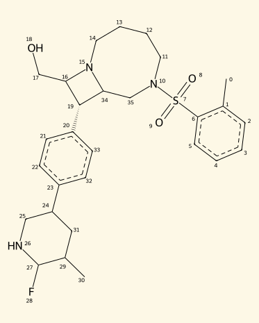 Cc1ccccc1S(=O)(=O)N1CCCCN2C(CO)[C@@H](c3ccc(C4CNC(F)C(C)C4)cc3)C2C1